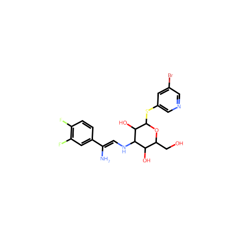 N/C(=C\NC1C(O)C(CO)OC(Sc2cncc(Br)c2)C1O)c1ccc(F)c(F)c1